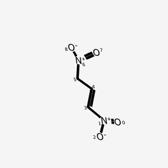 O=[N+]([O-])/C=C/C[N+](=O)[O-]